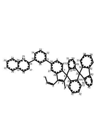 C/C=C\C1=C(C)C2(c3ccc(-c4cccc(-c5ccc6ccccc6n5)c4)cc31)c1ccccc1C1(c3ccccc3-c3ccccc31)c1ccccc12